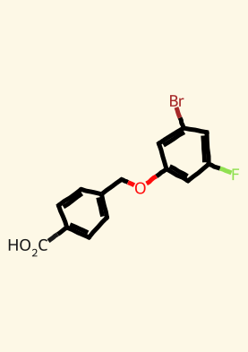 O=C(O)c1ccc(COc2cc(F)cc(Br)c2)cc1